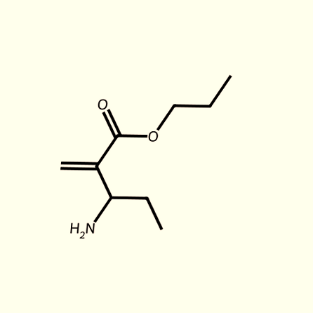 C=C(C(=O)OCCC)C(N)CC